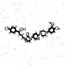 COc1ccc(N2CCN(c3ccc(-n4cnn(CCCC(O)c5ccc(Cl)cc5)c4=O)cn3)CC2)cc1OC